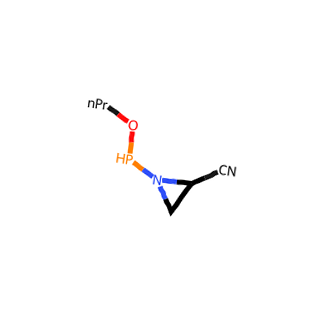 CCCOPN1CC1C#N